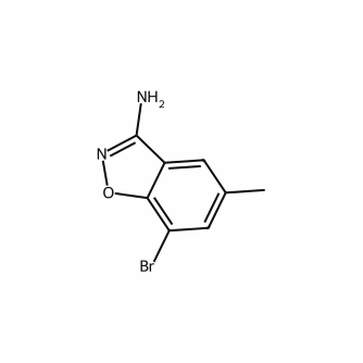 Cc1cc(Br)c2onc(N)c2c1